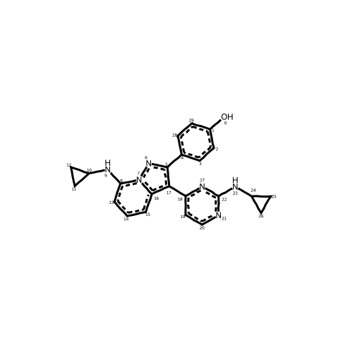 Oc1ccc(-c2nn3c(NC4CC4)cccc3c2-c2ccnc(NC3CC3)n2)cc1